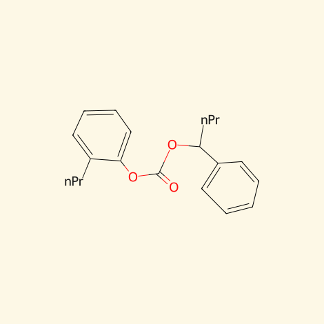 CCCc1ccccc1OC(=O)OC(CCC)c1ccccc1